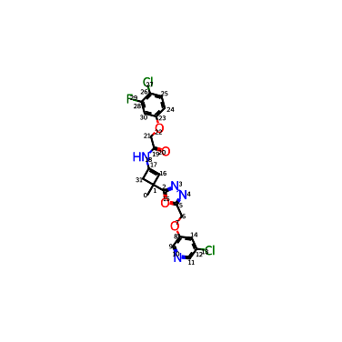 CC1(c2nnc(COc3cncc(Cl)c3)o2)C=C(NC(=O)COc2ccc(Cl)c(F)c2)C1